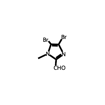 Cn1c(C=O)nc(Br)c1Br